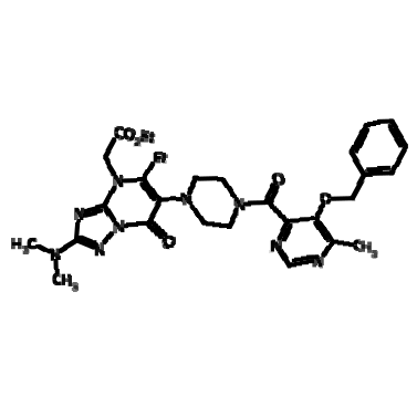 CCOC(=O)Cn1c(CC)c(N2CCN(C(=O)c3ncnc(C)c3OCc3ccccc3)CC2)c(=O)n2nc(N(C)C)nc12